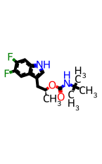 C[C@H](Cc1c[nH]c2cc(F)c(F)cc12)OC(=O)NC(C)(C)C